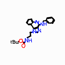 CC(C)(C)OC(=O)NCCCn1cnc2c(NCc3ccccc3)nc3ccccc3c21